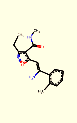 CCc1noc(C=C(N)c2ccccc2C)c1C(=O)NC